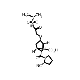 CN(C)S(=O)(=O)NC(=O)CO[C@@H]1C[C@@H]2C[C@H]1N(C(=O)O)[C@@H]2C(=O)N1CCC[C@H]1C#N